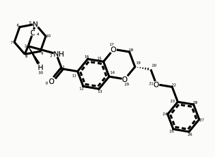 O=C(N[C@H]1CN2CCC1CC2)c1ccc2c(c1)OC[C@H](COCc1ccccc1)O2